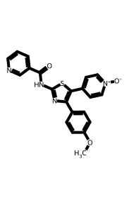 COc1ccc(-c2nc(NC(=O)c3cccnc3)sc2-c2cc[n+]([O-])cc2)cc1